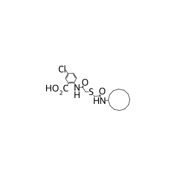 O=C(CSCC(=O)NC1CCCCCCCCCCC1)Nc1ccc(Cl)cc1C(=O)O